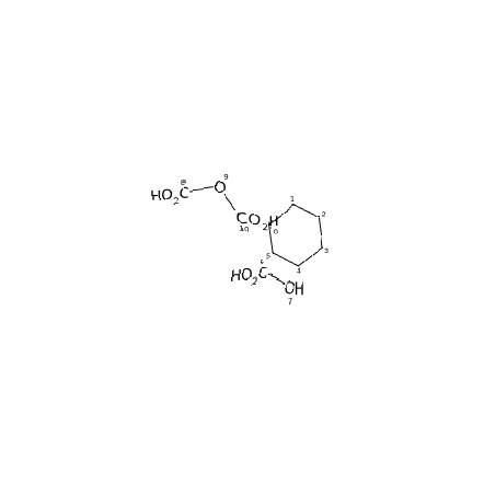 C1CCCCC1.O=C(O)O.O=C(O)OC(=O)O